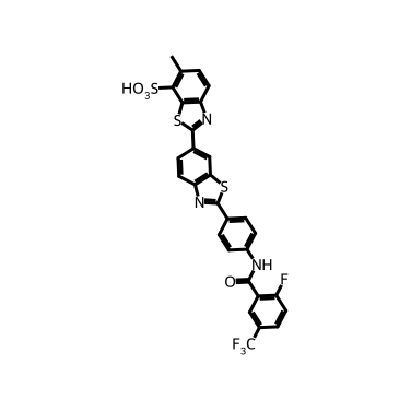 Cc1ccc2nc(-c3ccc4nc(-c5ccc(NC(=O)c6cc(C(F)(F)F)ccc6F)cc5)sc4c3)sc2c1S(=O)(=O)O